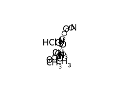 COc1cc(C)c(S(=O)(=O)N2CCC[C@H]2CCCS(=O)(=O)N2CCC3(CCC(Oc4ccncc4)CC3)CC2)c(C)c1.Cl